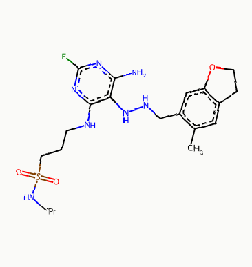 Cc1cc2c(cc1CNNc1c(N)nc(F)nc1NCCCS(=O)(=O)NC(C)C)OCC2